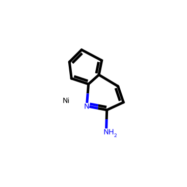 Nc1ccc2ccccc2n1.[Ni]